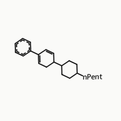 CCCCCC1CCC(C2C=CC(c3ccccc3)=CC2)CC1